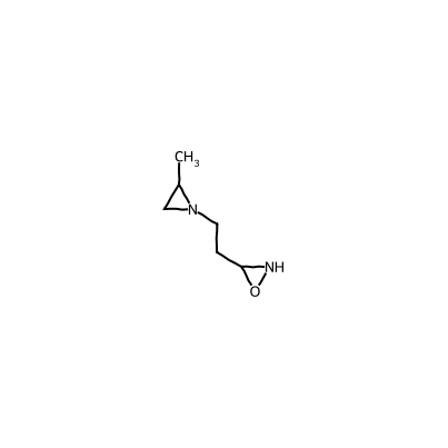 CC1CN1CCC1NO1